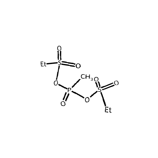 CCS(=O)(=O)OP(C)(=O)OS(=O)(=O)CC